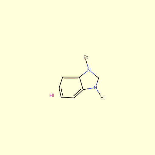 CCN1CN(CC)c2ccccc21.I